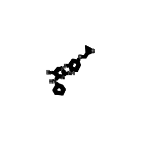 Fc1cc(OCC2CO2)ccc1Nc1ncc(Br)c(Nc2ccccc2)n1